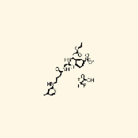 CCOC(=O)C[C@@H](NC(=O)CNC(=O)CCCNc1cc(C)ccn1)c1cccc([N+](=O)[O-])c1.O=C(O)C(F)(F)F